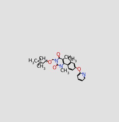 Cc1cc(Oc2ccccn2)ccc1-c1c(C)c(=O)n(COCC[Si](C)(C)C)c(=O)n1C